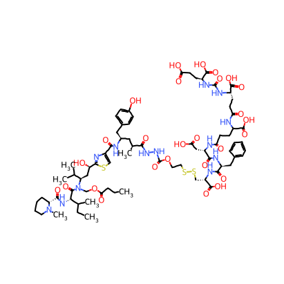 CCCC(=O)OCN(C(=O)[C@@H](NC(=O)[C@H]1CCCCN1C)C(C)CC)[C@H](C[C@@H](O)c1nc(C(=O)N[C@@H](Cc2ccc(O)cc2)C[C@H](C)C(=O)NNC(=O)OCCSSC[C@H](NC(=O)[C@H](Cc2ccccc2)NC(=O)[C@H](CC(=O)O)NC(=O)CCC(NC(=O)CC[C@H](NC(=O)N[C@@H](CCC(=O)O)C(=O)O)C(=O)O)C(=O)O)C(=O)O)cs1)C(C)C